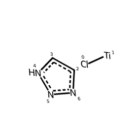 [Cl][Ti].c1c[nH]nn1